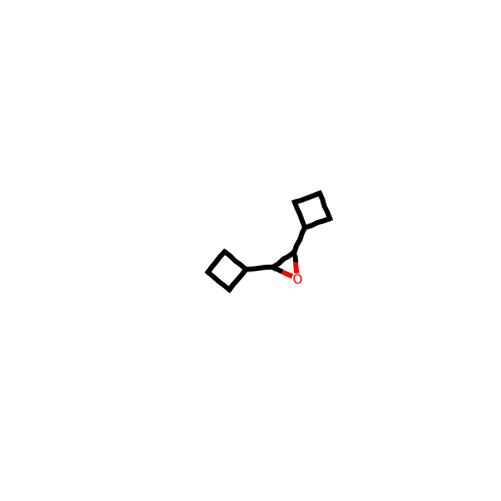 C1CC(C2OC2C2CCC2)C1